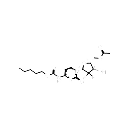 CCCCCOC(=O)Nc1ccn([C@@H]2O[C@H](COC(C)=O)[C@@H](O)C2(F)F)c(=O)n1